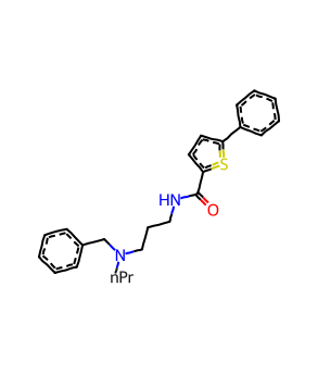 CCCN(CCCNC(=O)c1ccc(-c2ccccc2)s1)Cc1ccccc1